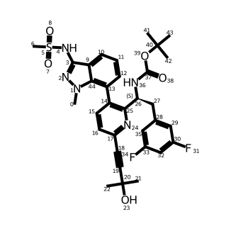 Cn1nc(NS(C)(=O)=O)c2cccc(-c3ccc(C#CC(C)(C)O)nc3[C@H](Cc3cc(F)cc(F)c3)NC(=O)OC(C)(C)C)c21